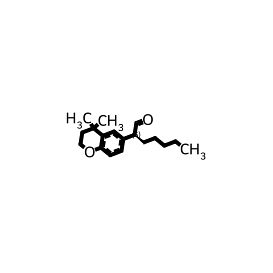 CCCCC[C@H](C=O)c1ccc2c(c1)C(C)(C)CCO2